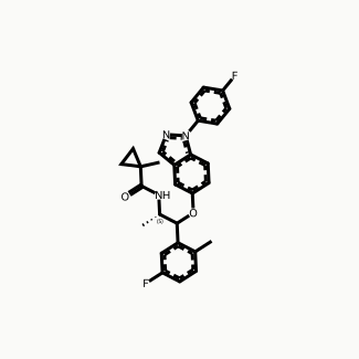 Cc1ccc(F)cc1C(Oc1ccc2c(cnn2-c2ccc(F)cc2)c1)[C@H](C)NC(=O)C1(C)CC1